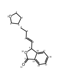 C1CCOC1.CCC=CC1OC(=O)c2ccccc21